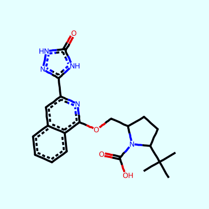 CC(C)(C)C1CCC(COc2nc(-c3n[nH]c(=O)[nH]3)cc3ccccc23)N1C(=O)O